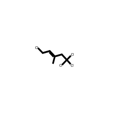 C/C(=C\CCl)CC(Cl)(Cl)Cl